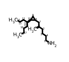 C=C(CCCCN)CC1C/C1=C(\CCC)CCCC